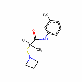 CC(C)(SN1CCC1)C(=O)Nc1cccc(C(F)(F)F)c1